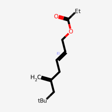 C=C(C/C=C/COC(=O)CC)CC(C)(C)C